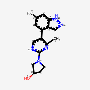 Cc1nc(N2CC[C@@H](O)C2)ncc1-c1cc(C(F)(F)F)cc2[nH]ncc12